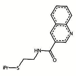 CC(C)SCCNC(=O)c1cnc2ccccc2c1